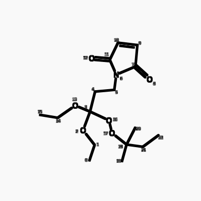 CCOC(CCN1C(=O)C=CC1=O)(OCC)OOC(C)(C)CC